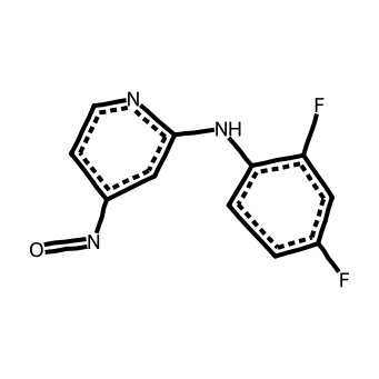 O=Nc1ccnc(Nc2ccc(F)cc2F)c1